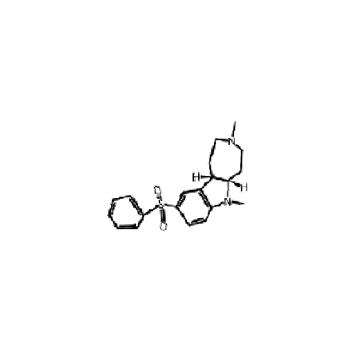 CN1CC[C@H]2c3cc(S(=O)(=O)c4ccccc4)ccc3N(C)[C@H]2CC1